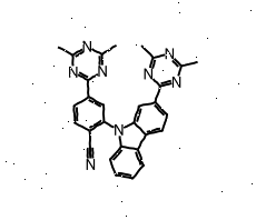 Cc1nc(C)nc(-c2ccc(C#N)c(-n3c4ccccc4c4ccc(-c5nc(C)nc(C)n5)cc43)c2)n1